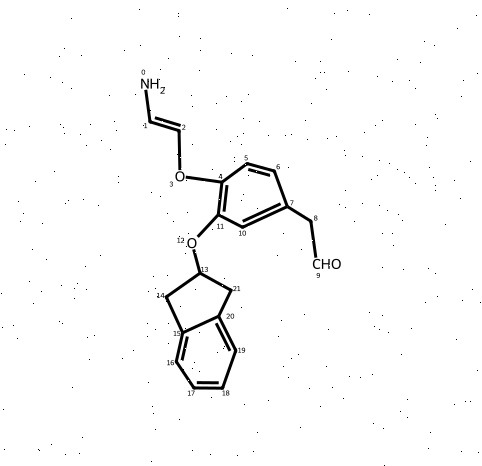 NC=COc1ccc(CC=O)cc1OC1Cc2ccccc2C1